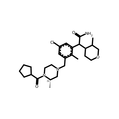 Cc1c(CN2CCN(C(=O)C3CCCC3)[C@@H](C)C2)cc(Cl)cc1C(C(N)=O)C1CCOCC1C